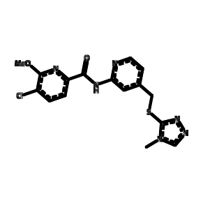 COc1nc(C(=O)Nc2cc(CSc3nncn3C)ccn2)ccc1Cl